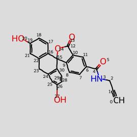 C#CCNC(=O)c1ccc2c(c1)C(=O)OC21c2ccc(O)cc2Cc2cc(O)ccc21